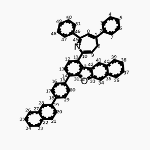 C1=C(c2ccccc2)CC=C(c2ccc(-c3ccc(-c4ccc5ccccc5c4)cc3)c3oc4cc5ccccc5cc4c23)N=C1c1ccccc1